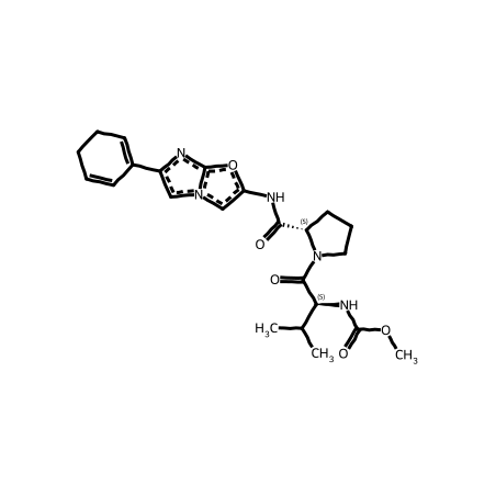 COC(=O)N[C@H](C(=O)N1CCC[C@H]1C(=O)Nc1cn2cc(C3=CCCC=C3)nc2o1)C(C)C